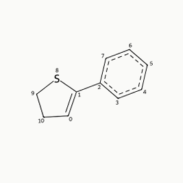 C1=C(c2ccccc2)SCC1